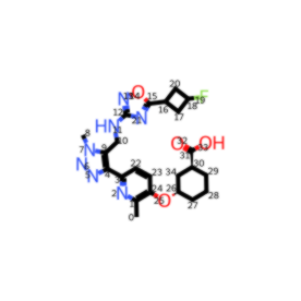 Cc1nc(-c2nnn(C)c2CNc2noc(C3CC(F)C3)n2)ccc1O[C@H]1CCC[C@H](C(=O)O)C1